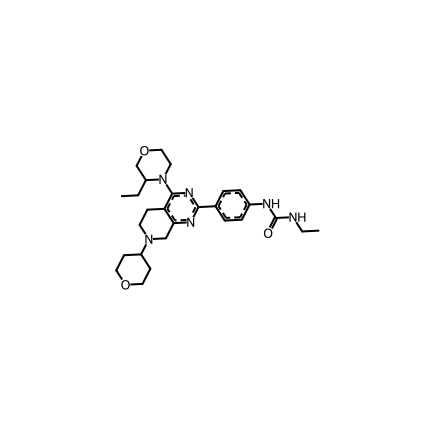 CCNC(=O)Nc1ccc(-c2nc3c(c(N4CCOCC4CC)n2)CCN(C2CCOCC2)C3)cc1